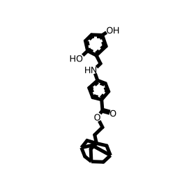 O=C(OCCC12CC3CC(CC(C3)C1)C2)c1ccc(NCc2cc(O)ccc2O)cc1